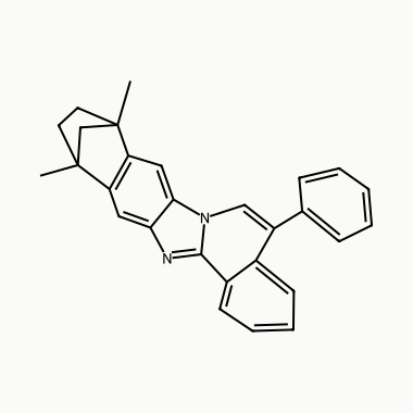 CC12CCC(C)(C1)c1cc3c(cc12)nc1c2ccccc2c(-c2ccccc2)cn31